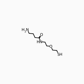 NCCCC(=O)NCCOCCS